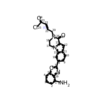 Nc1cccc2oc(-c3ccc4cc5n(c4c3)CCN(C/C=C/C(=O)Cl)C5=O)nc12